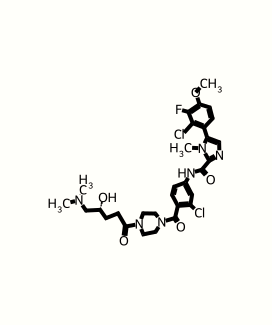 COc1ccc(-c2cnc(C(=O)Nc3ccc(C(=O)N4CCN(C(=O)CC[C@@H](O)CN(C)C)CC4)c(Cl)c3)n2C)c(Cl)c1F